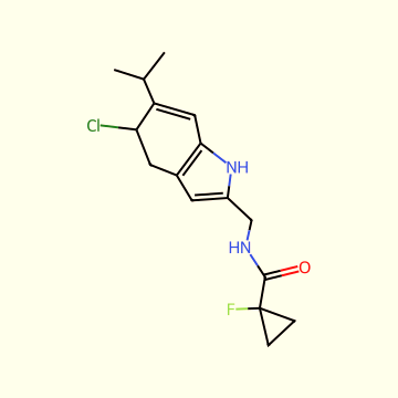 CC(C)C1=Cc2[nH]c(CNC(=O)C3(F)CC3)cc2CC1Cl